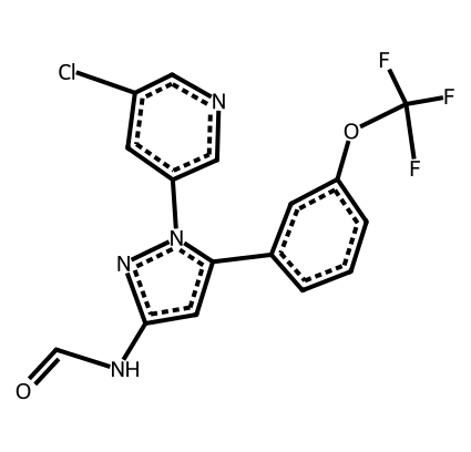 O=CNc1cc(-c2cccc(OC(F)(F)F)c2)n(-c2cncc(Cl)c2)n1